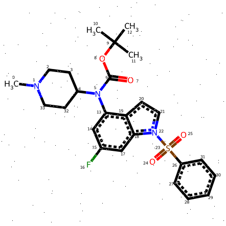 CN1CCC(N(C(=O)OC(C)(C)C)c2cc(F)cc3c2ccn3S(=O)(=O)c2ccccc2)CC1